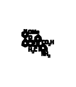 COc1cc(-c2cccc3cc([C@H](C)Nc4nc(N)ncc4C(=O)O)n(-c4ccccc4)c(=O)c23)ccn1